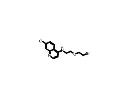 Clc1ccc2c(NCCOCCBr)ccnc2c1